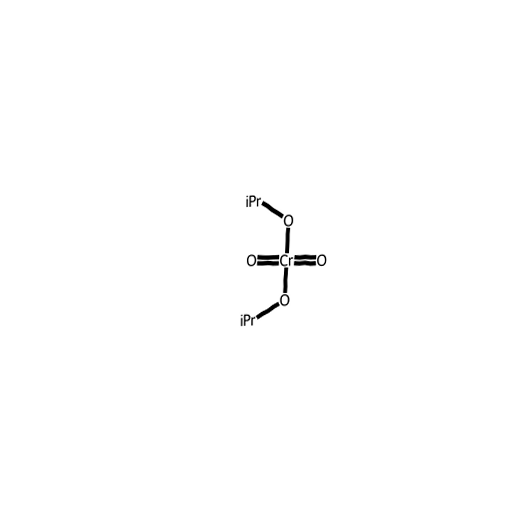 CC(C)[O][Cr](=[O])(=[O])[O]C(C)C